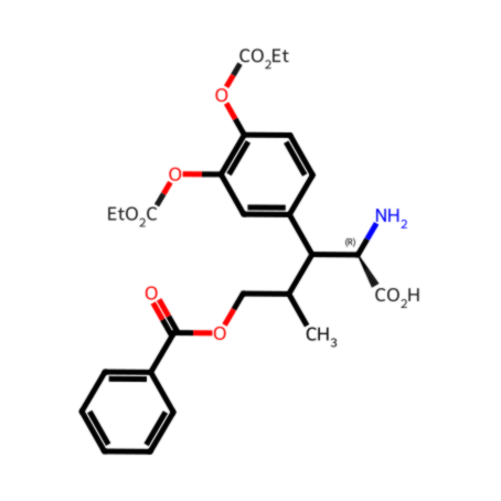 CCOC(=O)Oc1ccc(C(C(C)COC(=O)c2ccccc2)[C@@H](N)C(=O)O)cc1OC(=O)OCC